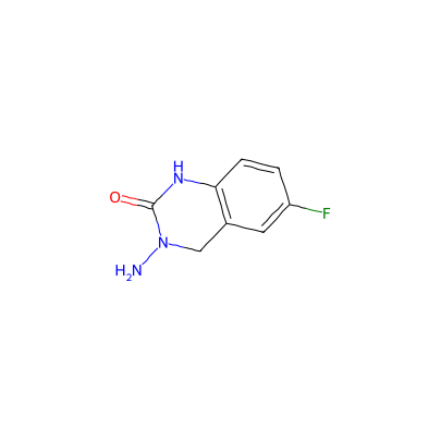 NN1Cc2cc(F)ccc2NC1=O